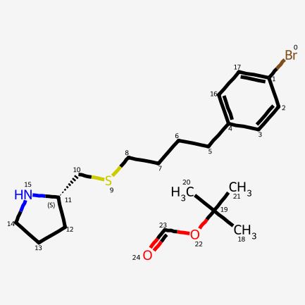 Brc1ccc(CCCCSC[C@@H]2CCCN2)cc1.CC(C)(C)OC=O